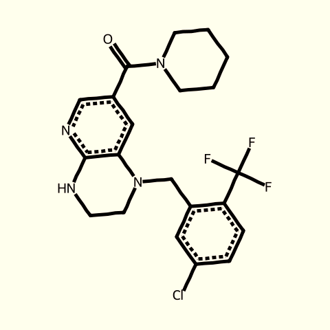 O=C(c1cnc2c(c1)N(Cc1cc(Cl)ccc1C(F)(F)F)CCN2)N1CCCCC1